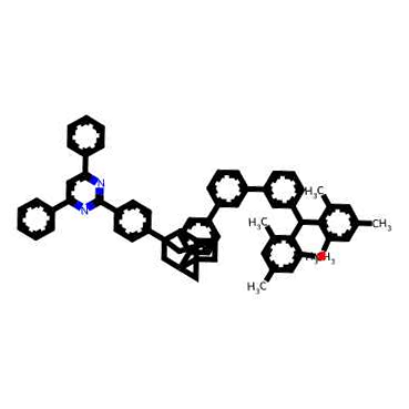 Cc1cc(C)c(C(c2cccc(-c3cccc(-c4ccc(C56CC7(c8ccc(-c9nc(-c%10ccccc%10)cc(-c%10ccccc%10)n9)cc8)CC8CC5(C6)C8C7)cc4)c3)c2)c2c(C)cc(C)cc2C)c(C)c1